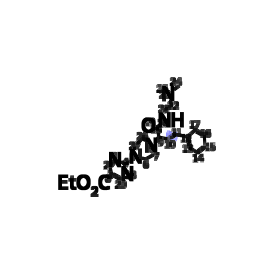 CCOC(=O)c1cnc(N2CCN(C(/C=C/c3ccccc3)C(=O)NCCN(C)C)CC2)nc1